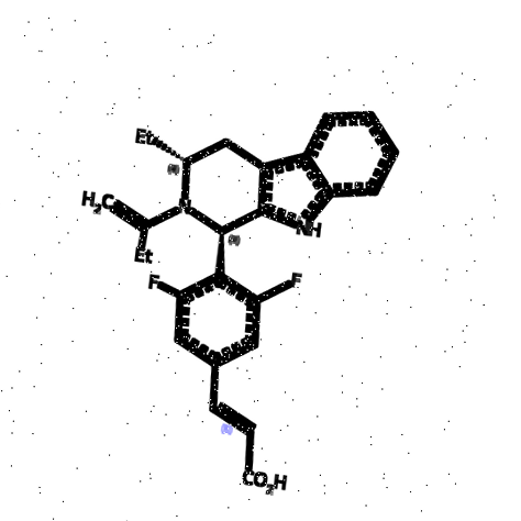 C=C(CC)N1[C@H](CC)Cc2c([nH]c3ccccc23)[C@H]1c1c(F)cc(/C=C/C(=O)O)cc1F